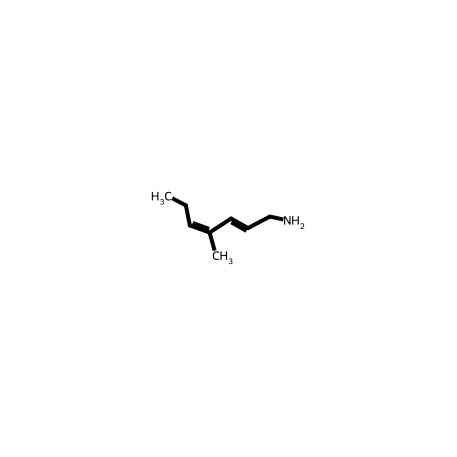 CCC=C(C)C=CCN